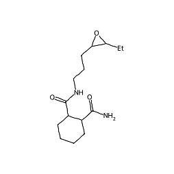 CCC1OC1CCCNC(=O)C1CCCCC1C(N)=O